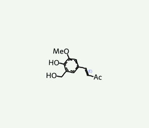 COc1cc(/C=C/C(C)=O)cc(CO)c1O